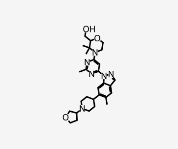 Cc1nc(N2CCOC(CO)C2(C)C)cc(-n2ncc3cc(C)c(C4CCN(C5CCOC5)CC4)cc32)n1